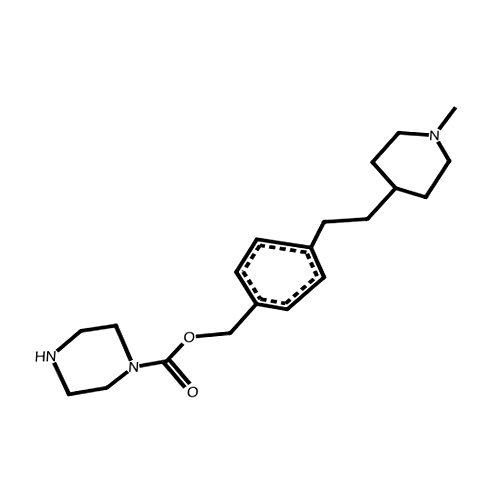 CN1CCC(CCc2ccc(COC(=O)N3CCNCC3)cc2)CC1